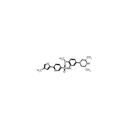 COc1ccc(N2C[C@@H](C)N[C@@H](C)C2)cc1NS(=O)(=O)c1ccc(-c2cc(C)cs2)nc1